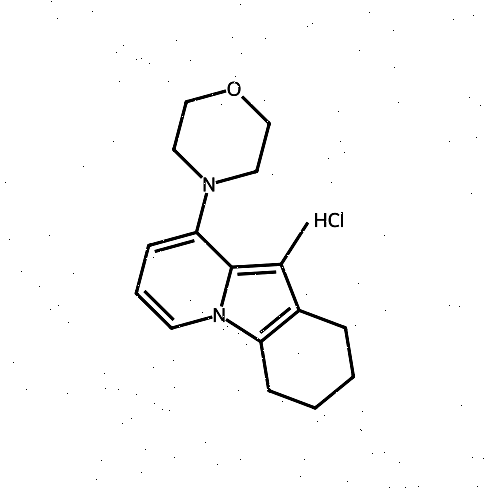 Cc1c2c(n3cccc(N4CCOCC4)c13)CCCC2.Cl